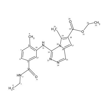 CCNC(=O)c1ccc(C)c(Nc2nncc3cc(C(=O)OCC)c(C)n23)c1